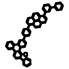 c1ccc(-c2cccc(-c3ccc4ccc5c(-c6ccc(-c7ccc8c(c7)c7ccccc7c7ccc9c%10ccccc%10oc9c78)cc6)ccc6ccc3c4c65)c2)cc1